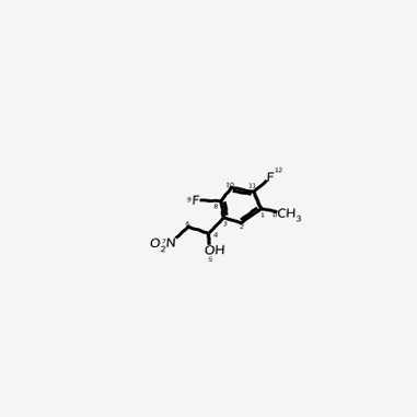 Cc1cc(C(O)C[N+](=O)[O-])c(F)cc1F